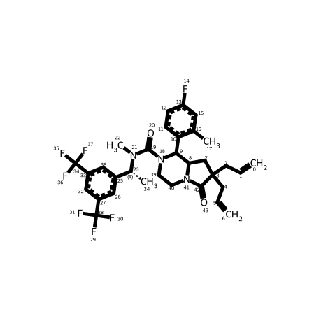 C=CCC1(CC=C)CC2C(c3ccc(F)cc3C)N(C(=O)N(C)[C@H](C)c3cc(C(F)(F)F)cc(C(F)(F)F)c3)CCN2C1=O